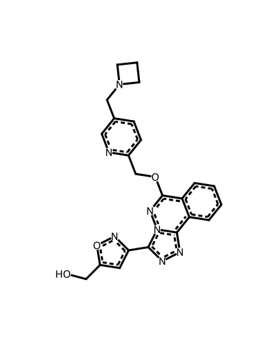 OCc1cc(-c2nnc3c4ccccc4c(OCc4ccc(CN5CCC5)cn4)nn23)no1